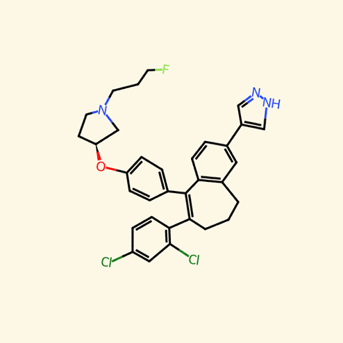 FCCCN1CC[C@H](Oc2ccc(C3=C(c4ccc(Cl)cc4Cl)CCCc4cc(-c5cn[nH]c5)ccc43)cc2)C1